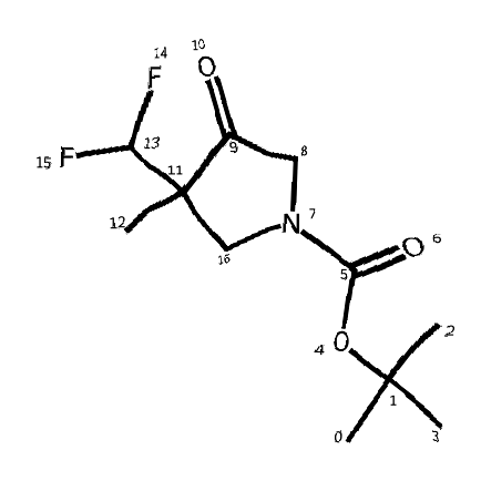 CC(C)(C)OC(=O)N1CC(=O)C(C)(C(F)F)C1